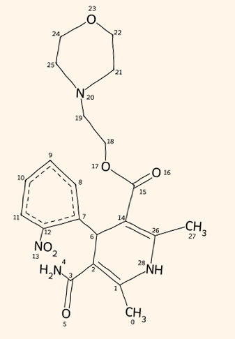 CC1=C(C(N)=O)C(c2ccccc2[N+](=O)[O-])C(C(=O)OCCN2CCOCC2)=C(C)N1